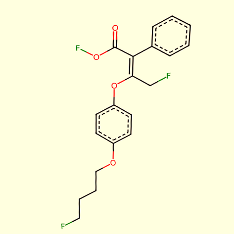 O=C(OF)C(=C(CF)Oc1ccc(OCCCCF)cc1)c1ccccc1